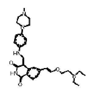 CCN(CC)CCO/C=C/c1ccc2c(c1)/C(=C/Nc1ccc(N3CCN(C)CC3)cc1)C(=O)NC2=O